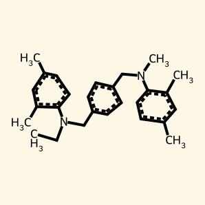 CCN(Cc1ccc(CN(C)c2ccc(C)cc2C)cc1)c1ccc(C)cc1C